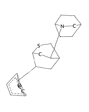 c1cc2c(C3CC4CSC3CC4N3CC4CCC3CC4)cc1CO2